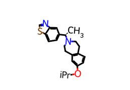 CC(C)Oc1ccc2c(c1)CCN([C@@H](C)c1ccc3scnc3c1)CC2